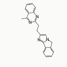 Cc1nc(CCc2cn3c(n2)-c2ccccc2C3)nc2ccccc12